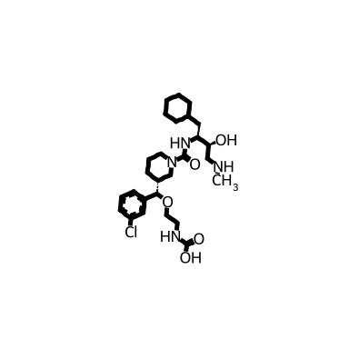 CNC[C@H](O)[C@H](CC1CCCCC1)NC(=O)N1CCC[C@@H](C(OCCNC(=O)O)c2cccc(Cl)c2)C1